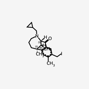 Cc1cc2c(cc1CI)C(=O)[C@@H]1[C@H](C)[C@]2(C)CCCN1CC1CC1